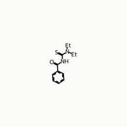 CCN(CC)C(=S)NC(=O)c1ccccc1